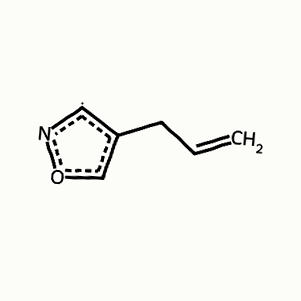 C=CCc1[c]noc1